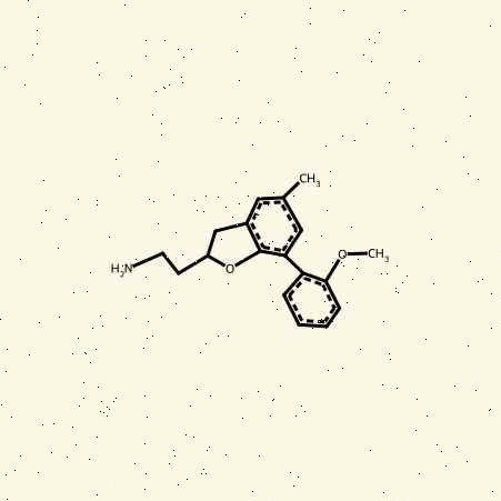 COc1ccccc1-c1cc(C)cc2c1OC(CCN)C2